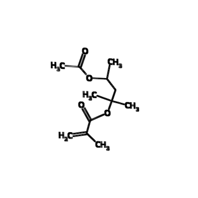 C=C(C)C(=O)OC(C)(C)CC(C)OC(C)=O